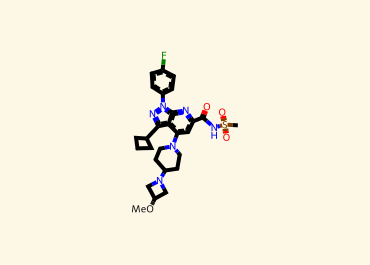 COC1CN(C2CCN(c3cc(C(=O)NS(C)(=O)=O)nc4c3c(C3CCC3)nn4-c3ccc(F)cc3)CC2)C1